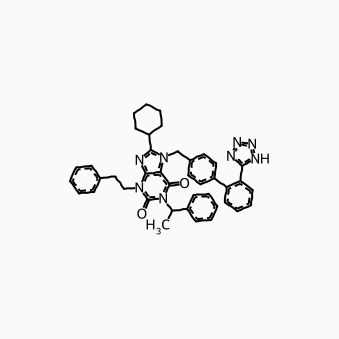 CC(c1ccccc1)n1c(=O)c2c(nc(C3CCCCC3)n2Cc2ccc(-c3ccccc3-c3nnn[nH]3)cc2)n(CCc2ccccc2)c1=O